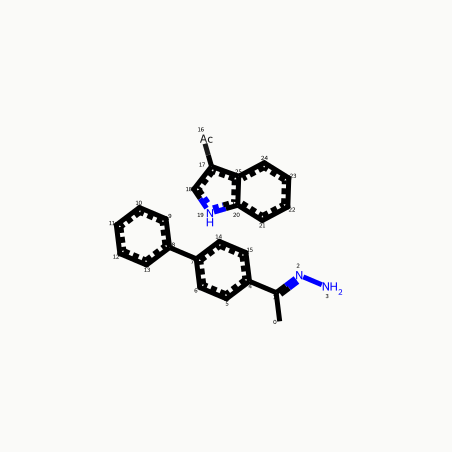 CC(=NN)c1ccc(-c2ccccc2)cc1.CC(=O)c1c[nH]c2ccccc12